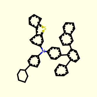 c1ccc(-c2cccc(-c3ccc4ccccc4c3)c2-c2ccc(N(c3ccc(C4CCCCC4)cc3)c3ccc4c(c3)sc3ccccc34)cc2)cc1